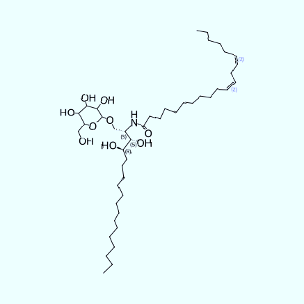 CCCCC/C=C\C/C=C\CCCCCCCCCC(=O)N[C@@H](COC1OC(CO)C(O)C(O)C1O)[C@H](O)[C@H](O)CCCCCCCCCCCCCC